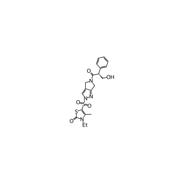 CCn1c(C)c(S(=O)(=O)n2cc3c(n2)CN(C(=O)[C@H](CO)c2ccccc2)C3)sc1=O